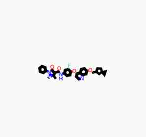 Cc1c(C(=O)Nc2ccc(Oc3ccnc4cc(OCC5CCC6(CC6)C5)ccc34)c(F)c2)c(=O)n(-c2ccccc2)n1C